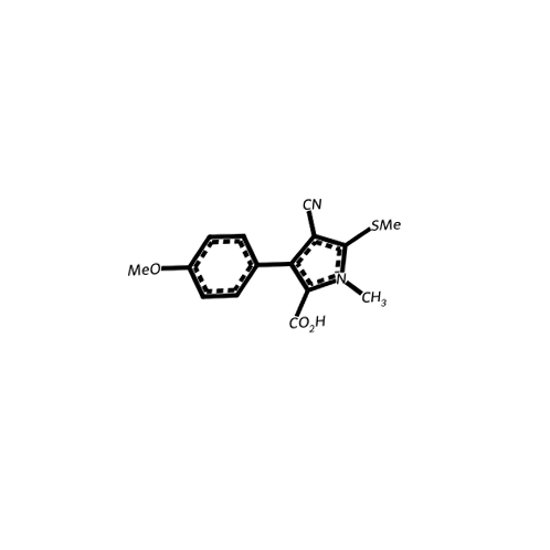 COc1ccc(-c2c(C#N)c(SC)n(C)c2C(=O)O)cc1